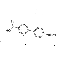 CCCCCCc1ccc(-c2ccc(C(O)CC)cc2)cc1